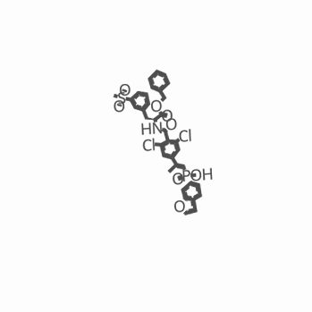 C/C(=C\P(=O)(O)c1ccc2ccoc2c1)c1cc(Cl)c(C(=O)N[C@@H](Cc2cccc(S(C)(=O)=O)c2)C(=O)OCc2ccccc2)c(Cl)c1